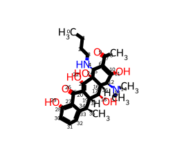 CCCCN[C@@H]1C(C(C)=O)=C(O)[C@@H](N(C)C)[C@@H]2[C@@H](O)[C@H]3C(=C(O)[C@@]21O)C(=O)c1c(O)cccc1[C@@H]3C